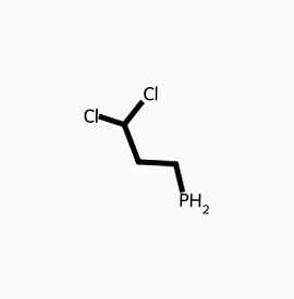 PCCC(Cl)Cl